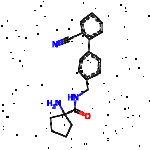 N#Cc1ccccc1-c1ccc(CNC(=O)C2(N)CCCC2)cc1